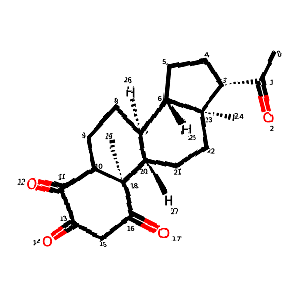 CC(=O)[C@H]1CC[C@H]2[C@@H]3CCC4C(=O)C(=O)CC(=O)[C@]4(C)[C@H]3CC[C@]12C